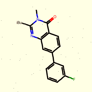 CCC(C)c1nc2cc(-c3cccc(F)c3)ccc2c(=O)n1C